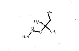 CCCCC(C)(C)O[SiH2]N